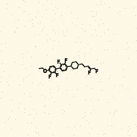 CCOc1ccc(-c2ccc(C3CCC(CC/C=C(\F)CF)CC3)c(F)c2F)c(F)c1F